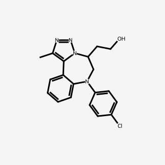 Cc1nnn2c1-c1ccccc1N(c1ccc(Cl)cc1)CC2CCO